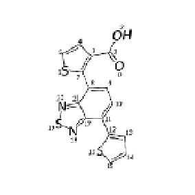 O=C(O)c1ccsc1-c1ccc(-c2cccs2)c2nsnc12